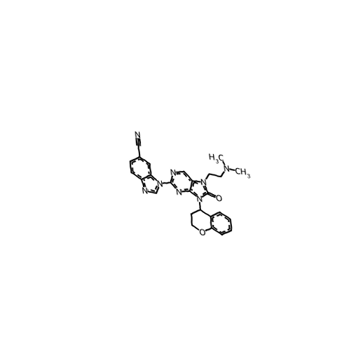 CN(C)CCn1c(=O)n(C2CCOc3ccccc32)c2nc(-n3cnc4ccc(C#N)cc43)ncc21